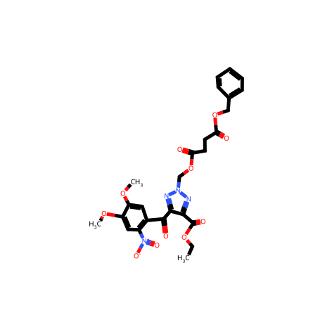 CCOC(=O)c1nn(COC(=O)CCC(=O)OCc2ccccc2)nc1C(=O)c1cc(OC)c(OC)cc1[N+](=O)[O-]